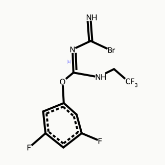 N=C(Br)/N=C(\NCC(F)(F)F)Oc1cc(F)cc(F)c1